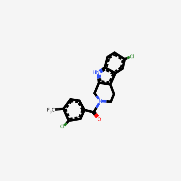 O=C(c1ccc(C(F)(F)F)c(Cl)c1)N1CCc2c([nH]c3ccc(Cl)cc23)C1